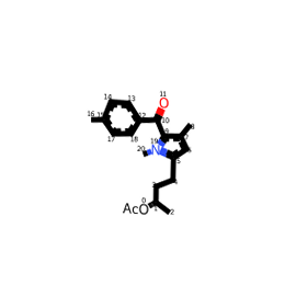 CC(=O)OC(C)CCc1cc(C)c(C(=O)c2ccc(C)cc2)n1C